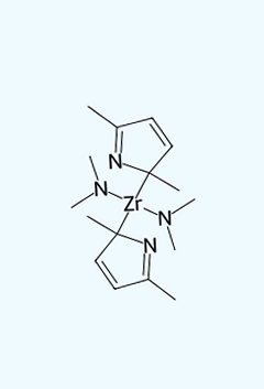 CC1=N[C](C)([Zr]([N](C)C)([N](C)C)[C]2(C)C=CC(C)=N2)C=C1